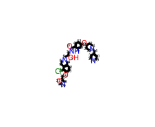 O=C(NCC(O)CN1CCc2c(ccc(OCc3cnco3)c2Cl)C1)c1ccc(OC2CCN(Cc3ccncc3)CC2)cc1